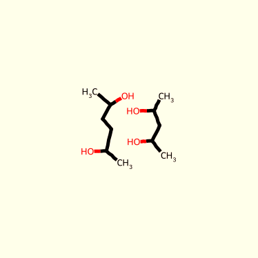 CC(O)CC(C)O.CC(O)CCC(C)O